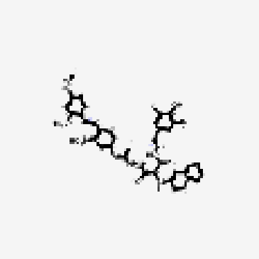 O=C(N/N=C/c1cc(Br)c(O)c(Br)c1)C(Nc1ccc2ccccc2c1)C(=O)NNC(=S)Nc1ccc(/C=C/c2ccc(N=C=S)cc2S(=O)(=O)O)c(S(=O)(=O)O)c1